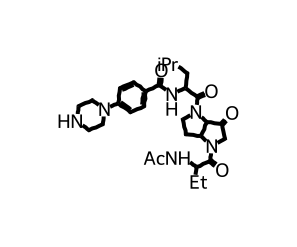 CCC(NC(C)=O)C(=O)N1CC(=O)C2C1CCN2C(=O)C(CC(C)C)NC(=O)c1ccc(N2CCNCC2)cc1